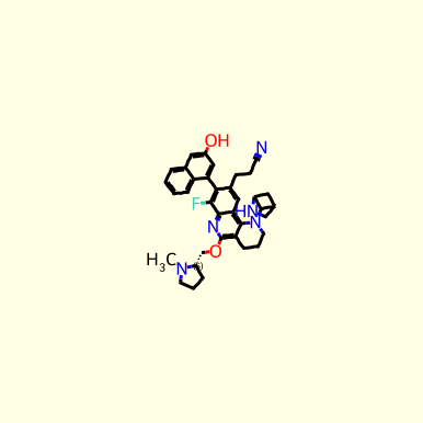 CN1CCC[C@H]1COc1nc2c(F)c(-c3cc(O)cc4ccccc34)c(CCC#N)cc2c2c1CCCN2C1C2CNC1C2